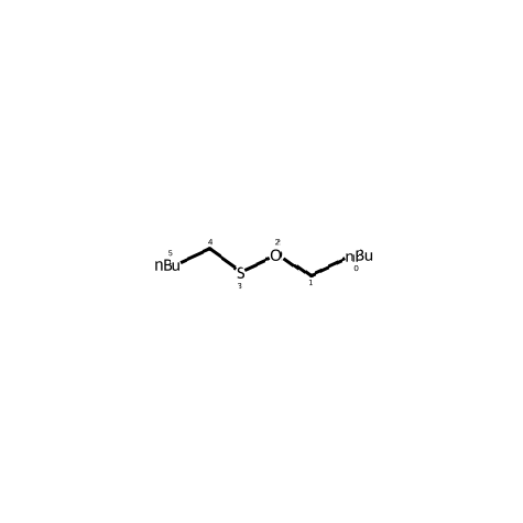 CCCCCOSCCCCC